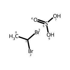 CC(Br)Br.O=S(O)O